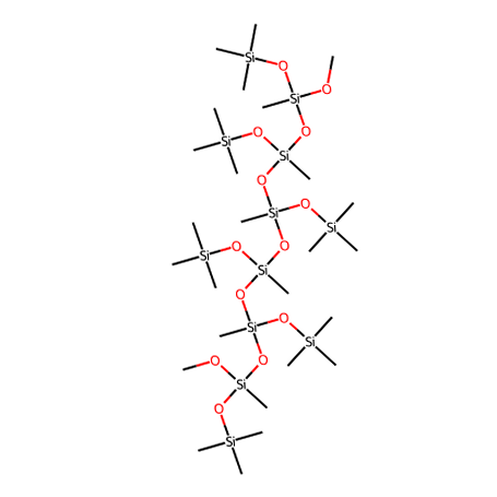 CO[Si](C)(O[Si](C)(C)C)O[Si](C)(O[Si](C)(C)C)O[Si](C)(O[Si](C)(C)C)O[Si](C)(O[Si](C)(C)C)O[Si](C)(O[Si](C)(C)C)O[Si](C)(OC)O[Si](C)(C)C